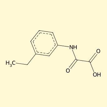 CCc1cccc(NC(=O)C(=O)O)c1